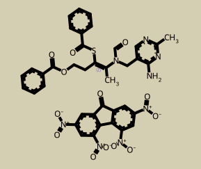 C/C(=C(\CCOC(=O)c1ccccc1)SC(=O)c1ccccc1)N(C=O)Cc1cnc(C)nc1N.O=C1c2cc([N+](=O)[O-])cc([N+](=O)[O-])c2-c2c1cc([N+](=O)[O-])cc2[N+](=O)[O-]